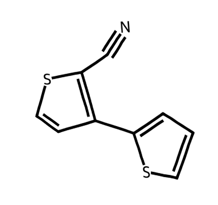 N#Cc1sccc1-c1cccs1